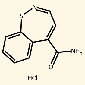 Cl.NC(=O)C1=CC=NSc2ccccc21